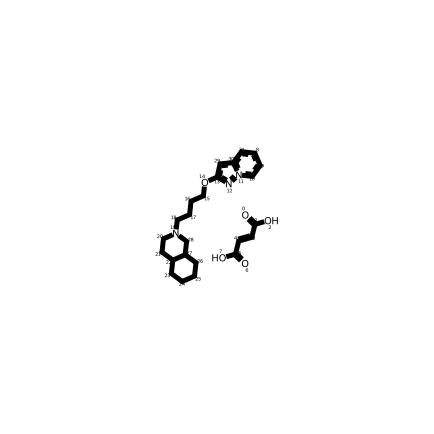 O=C(O)/C=C/C(=O)O.c1ccn2nc(OCCCCN3CCC4CCCCC4C3)cc2c1